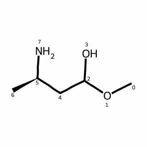 COC(O)C[C@@H](C)N